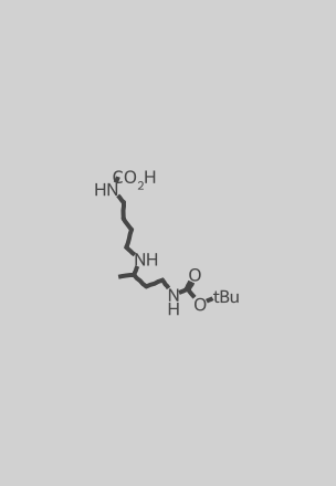 CC(CCNC(=O)OC(C)(C)C)NCCCCNC(=O)O